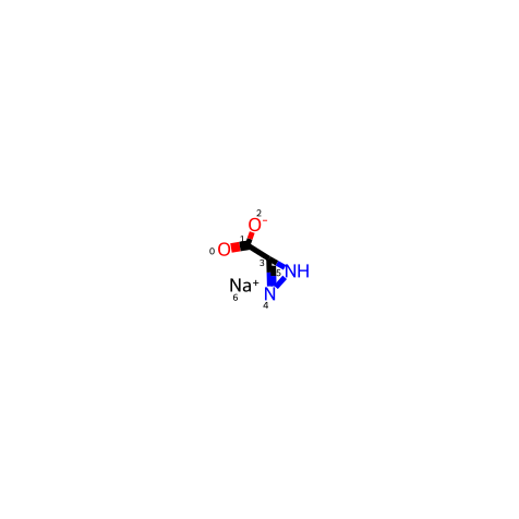 O=C([O-])C1=NN1.[Na+]